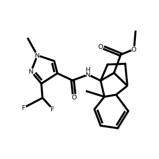 COC(=O)C1C2CCC1(NC(=O)c1cn(C)nc1C(F)F)C1(C)C=CC=CC21